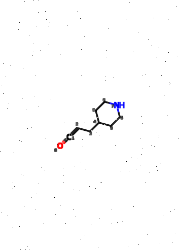 O=C=CCC1CCNCC1